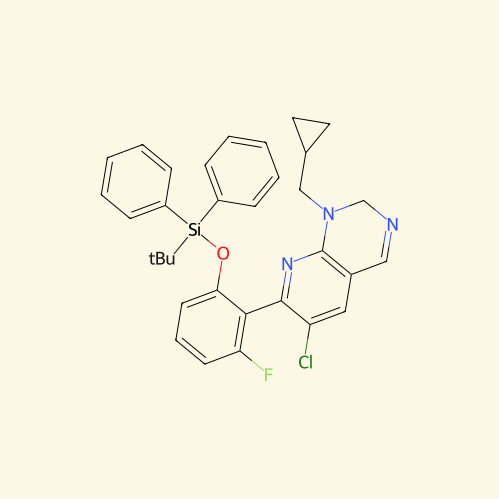 CC(C)(C)[Si](Oc1cccc(F)c1-c1nc2c(cc1Cl)C=NCN2CC1CC1)(c1ccccc1)c1ccccc1